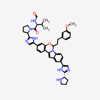 COc1cccc(CCC2Oc3cc(-c4cnc(C5CCCN5C(=O)[C@@H](NC=O)C(C)C)[nH]4)ccc3-c3cc4cc(-c5cnc([C@@H]6CCCN6)[nH]5)ccc4n32)c1